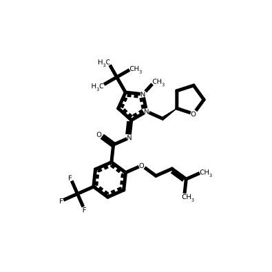 CC(C)=CCOc1ccc(C(F)(F)F)cc1C(=O)/N=c1\cc(C(C)(C)C)n(C)n1C[C@H]1CCCO1